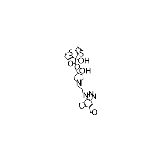 O=Cc1cc2nnn(CCCN3CCC(O)(COC(=O)C(O)(c4cccs4)c4cccs4)CC3)c2c2c1CCC2